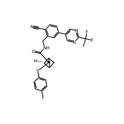 N#Cc1ccc(-c2cnc(C(F)(F)F)nc2)cc1CNC(=O)[C@@H]1C2CC(C2)N1Sc1ccc(F)cc1